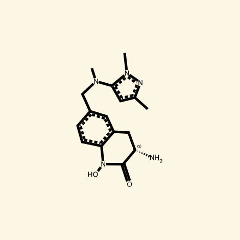 Cc1cc(N(C)Cc2ccc3c(c2)C[C@H](N)C(=O)N3O)n(C)n1